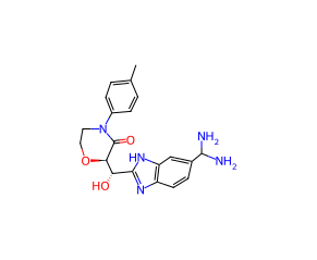 Cc1ccc(N2CCO[C@H]([C@@H](O)c3nc4ccc(C(N)N)cc4[nH]3)C2=O)cc1